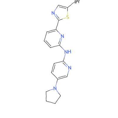 CC(C)c1cnc(-c2cccc(Nc3ccc(N4CCCC4)cn3)n2)s1